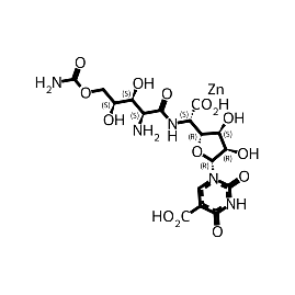 NC(=O)OC[C@H](O)[C@@H](O)[C@H](N)C(=O)N[C@H](C(=O)O)[C@H]1O[C@@H](n2cc(C(=O)O)c(=O)[nH]c2=O)[C@H](O)[C@@H]1O.[Zn]